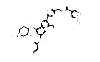 C/C=C/C(=O)Nc1cc(N[C@@H]2CCN(C)C[C@@H]2F)c2nc(-c3noc(CNC(=O)c4cnn(C(C)(C)C)c4)n3)c(CC(F)(F)F)n2c1